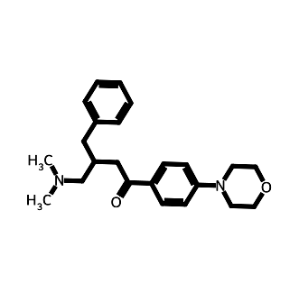 CN(C)CC(CC(=O)c1ccc(N2CCOCC2)cc1)Cc1ccccc1